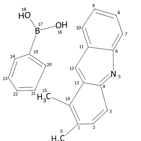 Cc1ccc2nc3ccccc3cc2c1C.OB(O)c1ccccc1